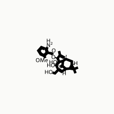 COc1cccc(N)c1C(=O)O[C@H]1C(C)=C[C@]23C(=O)[C@@H](C=C(CO)[C@@H](O)[C@]12O)C1[C@@H](C[C@H]3C)C1(C)C